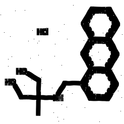 CC(CO)(CO)NCc1cccc2cc3ccccc3cc12.Cl